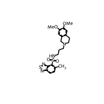 COc1cc2c(cc1OC)CN(CCCNS(=O)(=O)c1c(C)ccc3nsnc13)CC2